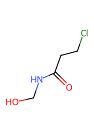 O=C(CCCl)NCO